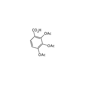 CC(=O)Oc1ccc(C(=O)O)c(OC(C)=O)c1OC(C)=O